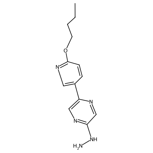 CCCCOc1ccc(-c2cnc(NN)cn2)cn1